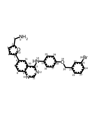 NCc1ccc(-c2ccc3ncnc(Nc4ccc(OCc5cccc(Br)c5)cc4)c3c2)o1